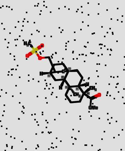 COC(=O)[C@]1(C)CCC[C@@]2(C)[C@@H]3C[C@@H]4CC[C@@]3(CC[C@@H]21)CC4COS(C)(=O)=O